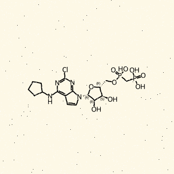 O=P(O)(O)CP(=O)(O)OC[C@H]1O[C@@H](n2ccc3c(NC4CCCC4)nc(Cl)nc32)[C@H](O)[C@@H]1O